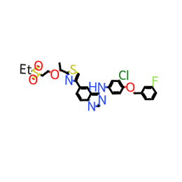 CCS(=O)(=O)CCOC(C)c1nc(-c2ccc3ncnc(Nc4ccc(OCc5cccc(F)c5)c(Cl)c4)c3c2)cs1